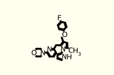 Cc1cc(COc2ccc(F)cc2)c(Cc2cccc(N3CCOCC3)n2)n1-c1ccc[nH]1